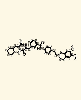 COc1cc2c(cc1OC)CN(CCc1ccc(NC(=O)c3cccc(C=c4[nH]c(=O)c(=CC5CCCCC5)n(C)c4=O)c3)cc1)CC2